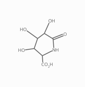 O=C1NC(C(=O)O)C(O)C(O)C1O